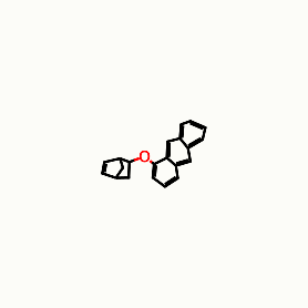 C1=CC2CC1CC2Oc1cccc2cc3ccccc3cc12